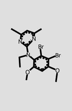 CCN(c1nc(C)cc(C)n1)c1c(OC)cc(OC)c(Br)c1Br